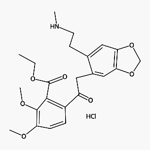 CCOC(=O)c1c(C(=O)Cc2cc3c(cc2CCNC)OCO3)ccc(OC)c1OC.Cl